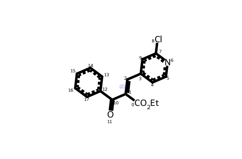 CCOC(=O)/C(=C\c1ccnc(Cl)c1)C(=O)c1ccccc1